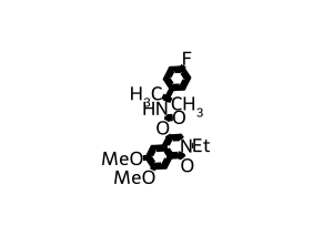 CCn1cc(OC(=O)NC(C)(C)c2ccc(F)cc2)c2cc(OC)c(OC)cc2c1=O